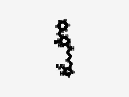 FC(F)(F)c1[nH]cnc1CSCCNc1ncc(Cc2cccnc2)c(=S)[nH]1